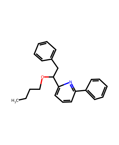 CCCCOC(Cc1ccccc1)c1cccc(-c2ccccc2)n1